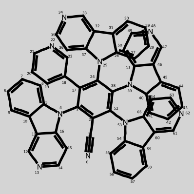 N#Cc1c(-n2c3ccccc3c3cnccc32)c(-c2cccnc2)c(-n2c3ccccc3c3cnccc32)c(-n2c3ccccc3c3cnccc32)c1-n1c2ccccc2c2cnccc21